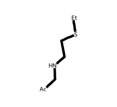 CCSCCNCC(C)=O